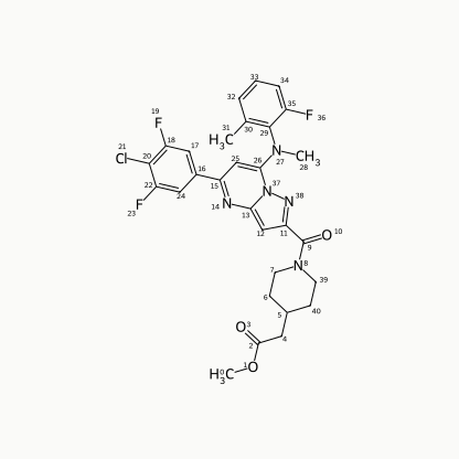 COC(=O)CC1CCN(C(=O)c2cc3nc(-c4cc(F)c(Cl)c(F)c4)cc(N(C)c4c(C)cccc4F)n3n2)CC1